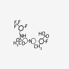 C[C@H]1CN([C@@H]2CC[C@](C)(C(=O)NCc3cc(F)cc(C(F)(F)F)c3)OC2)CC[C@@H]1c1ccc(F)c(C(=O)O)c1